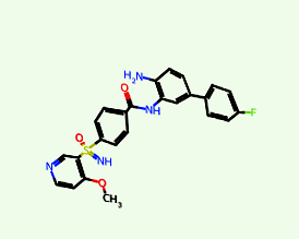 COc1ccncc1S(=N)(=O)c1ccc(C(=O)Nc2cc(-c3ccc(F)cc3)ccc2N)cc1